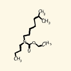 CCCCN(CCCCCC(C)C)C(=O)OCC